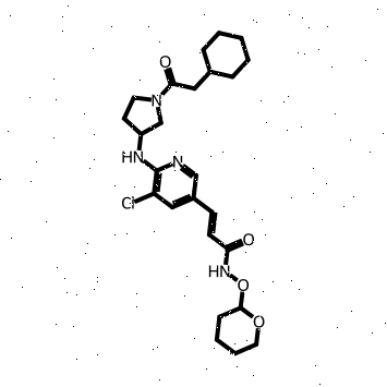 O=C(/C=C/c1cnc(NC2CCN(C(=O)CC3CCCCC3)C2)c(Cl)c1)NOC1CCCCO1